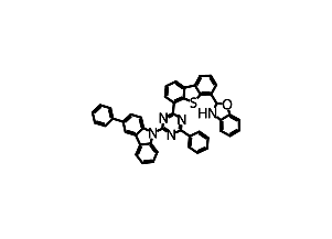 c1ccc(-c2ccc3c(c2)c2ccccc2n3-c2nc(-c3ccccc3)nc(-c3cccc4c3sc3c(C5Nc6ccccc6O5)cccc34)n2)cc1